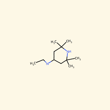 CC[N]C1CC(C)(C)NC(C)(C)C1